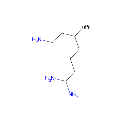 CCCC(CCN)CCCC(N)N